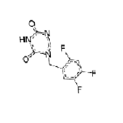 O=c1ncn(Cc2cc(F)c(F)cc2F)c(=O)[nH]1